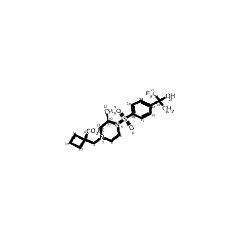 CCOC(=O)C1(CN2CCN(S(=O)(=O)c3ccc(C(C)(O)C(F)(F)F)cc3)[C@H](C)C2)CCC1